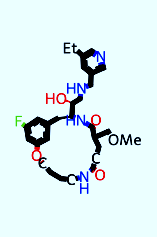 CCc1cncc(CNC[C@@H](O)[C@@H]2Cc3cc(F)cc(c3)OCCCCNC(=O)CCC(COC)C(=O)N2)c1